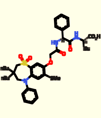 CCCCC1(CCCC)CN(c2ccccc2)c2cc(SC)c(OCC(=O)N[C@@H](C(=O)N[C@H](C(=O)O)C(C)CC)c3ccccc3)cc2S(=O)(=O)C1